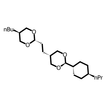 CCCC[C@H]1CO[C@H](CC[C@H]2CO[C@H]([C@H]3CC[C@H](CCC)CC3)OC2)OC1